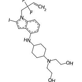 C=CC(F)(F)Cn1c(I)cc2c(NC3CCC(N(CCO)CCO)CC3)cccc21